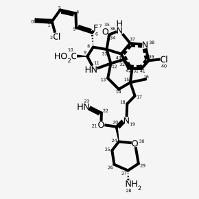 C=C(Cl)/C=C\C=C(/F)[C@H]1[C@H](C(=O)O)NC2(CCC(C)(CC/N=C(\OC=N)[C@@H]3CC[C@@H](N)CO3)CC2)C12C(=O)Nc1nc(Cl)ccc12